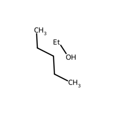 CCCCC.CCO